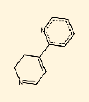 C1=NCCC(c2ccccn2)=C1